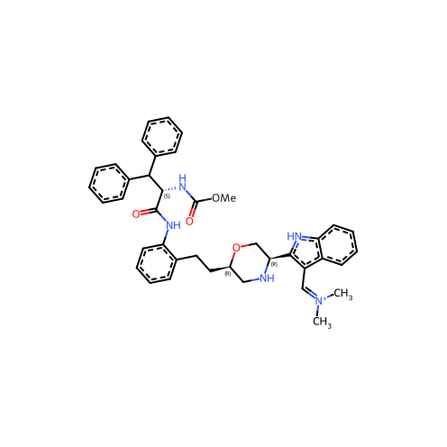 COC(=O)N[C@H](C(=O)Nc1ccccc1CC[C@@H]1CN[C@H](c2[nH]c3ccccc3c2C=[N+](C)C)CO1)C(c1ccccc1)c1ccccc1